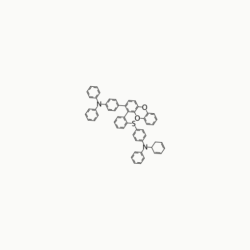 C1=CCC(N(c2ccccc2)c2ccc(Sc3ccccc3-c3c(-c4ccc(N(c5ccccc5)c5ccccc5)cc4)ccc4c3Oc3ccccc3O4)cc2)C=C1